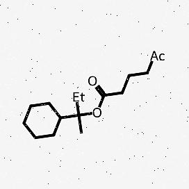 CCC(C)(OC(=O)CCCC(C)=O)C1CCCCC1